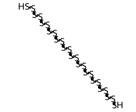 SSSSSSSSSSSSSSSSSSSSSSSSS